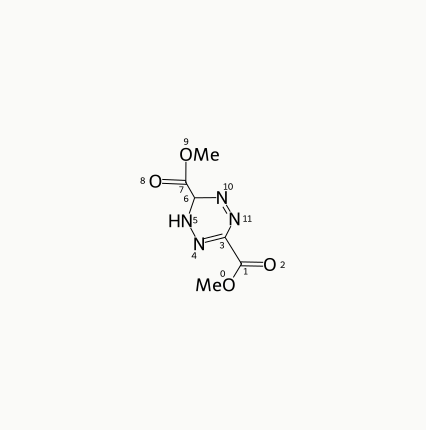 COC(=O)C1=NNC(C(=O)OC)N=N1